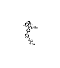 Cc1cn2ccnc2c(N(C(=O)OC(C)(C)C)c2ccc(N3CCO[C@@H](COC(=O)OC(C)(C)C)C3)cc2)n1